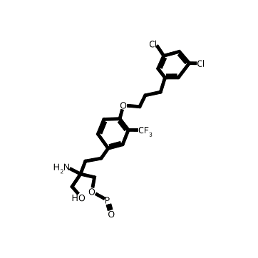 NC(CO)(CCc1ccc(OCCCc2cc(Cl)cc(Cl)c2)c(C(F)(F)F)c1)COP=O